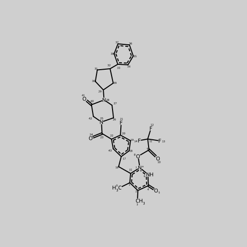 Cc1c(C)c(=O)[nH][n+](OC(=O)C(F)(F)F)c1Cc1ccc(F)c(C(=O)N2CCN(C3CCC(c4ccccc4)C3)C(=O)C2)c1